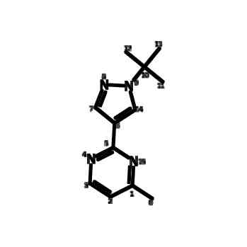 Cc1ccnc(-c2cnn(C(C)(C)C)c2)n1